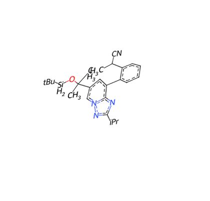 CC(C)c1nc2c(-c3ccccc3C(C)C#N)cc(C(C)(C)O[SiH2]C(C)(C)C)cn2n1